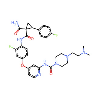 CN(C)CCN1CCN(C(=O)Nc2cc(Oc3ccc(NC(=O)C4(C(N)=O)CC4c4ccc(F)cc4)c(F)c3)ccn2)CC1